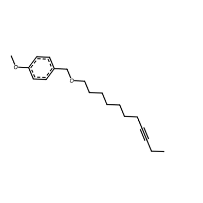 CCC#CCCCCCCCOCc1ccc(OC)cc1